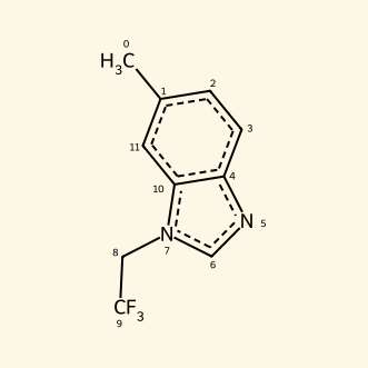 Cc1ccc2ncn(CC(F)(F)F)c2c1